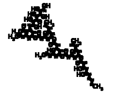 CCCCCC(O)CC(O)CC(=O)OC(CCCCC)CC(O)CC(=O)OC(CCCCC)CC(O)CC(=O)OC(CCCCC)CC(O)CC(=O)OC(CCCCC)CC(CC(=O)C(O)C(O)C(O)C(O)C(O)CO)OC(C)=O